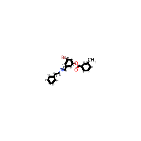 Cc1cccc(C(=O)Oc2cc(Br)cc(C=NCCc3ccccc3)c2)c1